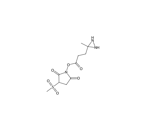 CC1(CCC(=O)ON2C(=O)CC(S(C)(=O)=O)C2=O)NN1